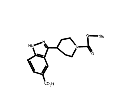 CC(C)(C)OC(=O)N1CCC(c2n[nH]c3ccc(C(=O)O)cc23)CC1